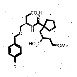 COCC[C@H](CC1(C(=O)N[C@@H](COCc2ccc(Cl)cc2)CC(=O)O)CCCC1)C(=O)O